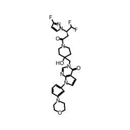 O=C(C[C@H](C(F)F)n1ccc(F)n1)N1CCC(O)(Cn2cnc3c(ccn3-c3cccc(N4CCOCC4)c3)c2=O)CC1